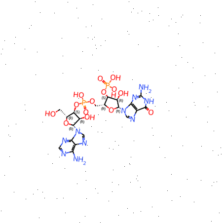 Nc1nc2c(ncn2[C@@H]2O[C@H](COP(=O)(O)O[C@H]3[C@@H](O)[C@H](n4cnc5c(N)ncnc54)O[C@@H]3CO)[C@@H](OP(=O)(O)O)[C@H]2O)c(=O)[nH]1